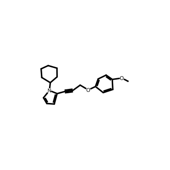 COc1ccc(OCC#Cc2cccn2C2CCCCC2)cc1